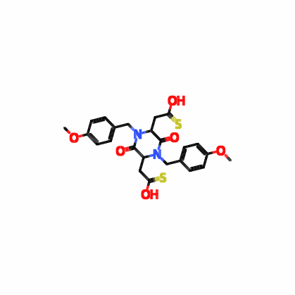 COc1ccc(CN2C(=O)C(CC(O)=S)N(Cc3ccc(OC)cc3)C(=O)C2CC(O)=S)cc1